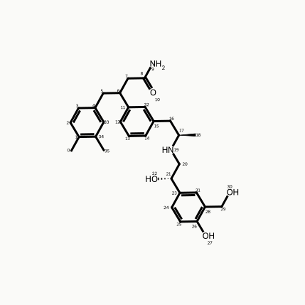 Cc1ccc(CC(CC(N)=O)c2cccc(C[C@@H](C)NC[C@@H](O)c3ccc(O)c(CO)c3)c2)cc1C